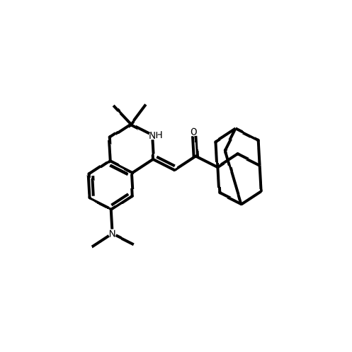 CN(C)c1ccc2c(c1)/C(=C/C(=O)C13CC4CC(CC(C4)C1)C3)NC(C)(C)C2